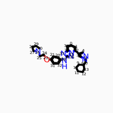 c1cc(-c2cnn(CC3CCCCC3)c2)n2nc(Nc3ccc(OCCN4CCCC4)cc3)nc2c1